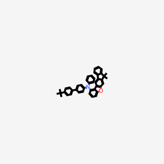 CC(C)(C)c1ccc(-c2ccc(N(c3ccccc3)c3cccc4oc5cc6c(cc5c34)-c3ccccc3C6(C)C)cc2)cc1